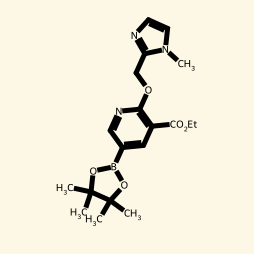 CCOC(=O)c1cc(B2OC(C)(C)C(C)(C)O2)cnc1OCc1nccn1C